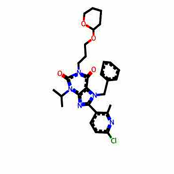 Cc1nc(Cl)ccc1-c1nc2c(c(=O)n(CCCOC3CCCCO3)c(=O)n2C(C)C)n1Cc1ccccc1